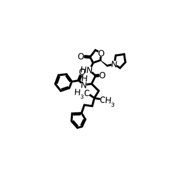 CC(C)(CCc1ccccc1)CC(NC(=O)c1ccccc1)C(=O)NC1C(=O)CO[C@H]1CN1CCCC1